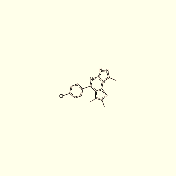 Cc1sc2c(c(-c3ccc(Cl)cc3)nc3nnc(C)n32)c1C